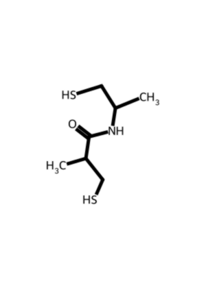 CC(CS)NC(=O)C(C)CS